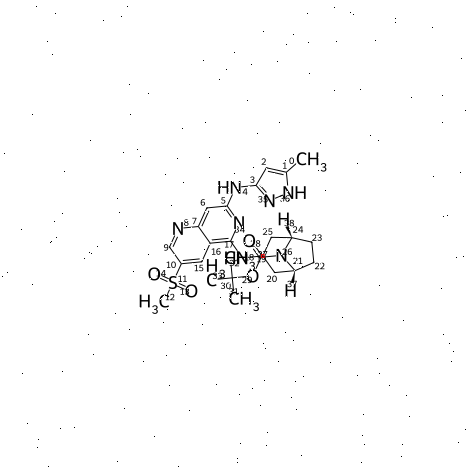 Cc1cc(Nc2cc3ncc(S(C)(=O)=O)cc3c(NC3C[C@H]4CC[C@@H](C3)N4C(=O)OC(C)(C)C)n2)n[nH]1